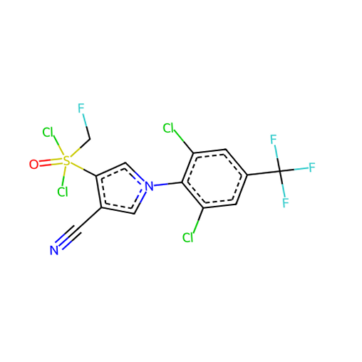 N#Cc1cn(-c2c(Cl)cc(C(F)(F)F)cc2Cl)cc1S(=O)(Cl)(Cl)CF